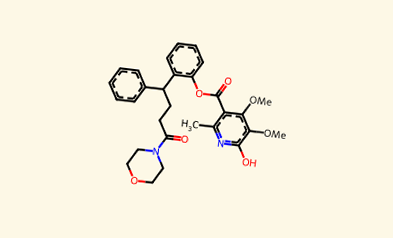 COc1c(O)nc(C)c(C(=O)Oc2ccccc2C(CCC(=O)N2CCOCC2)c2ccccc2)c1OC